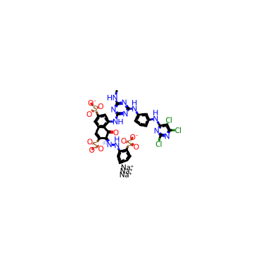 CNc1nc(Nc2cccc(Nc3nc(Cl)nc(Cl)c3Cl)c2)nc(Nc2cc(S(=O)(=O)[O-])cc3c2C(=O)/C(=N\Nc2ccccc2S(=O)(=O)[O-])C(S(=O)(=O)[O-])=C3)n1.[Na+].[Na+].[Na+]